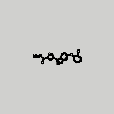 CNC(=O)c1cc(-n2ncc3cc(Oc4ccccc4Cl)ccc32)cs1